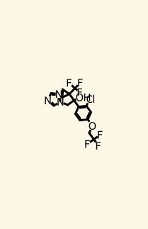 OC(Cn1cncn1)(c1ccc(OCC(F)(F)F)cc1Cl)C1(C(F)(F)F)CC1